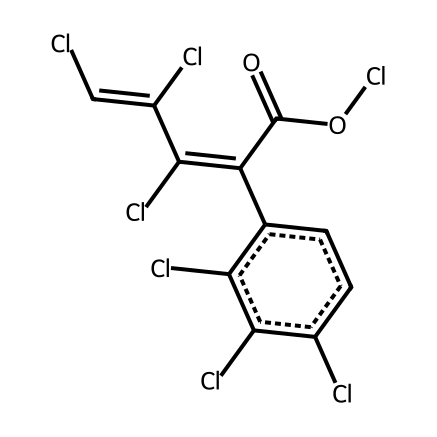 O=C(OCl)C(=C(Cl)C(Cl)=CCl)c1ccc(Cl)c(Cl)c1Cl